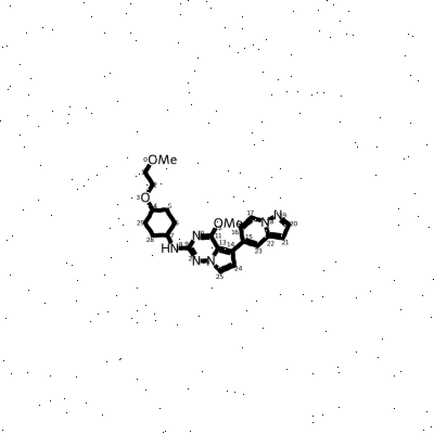 COCCOC1CCC(Nc2nc(OC)c3c(-c4ccn5nccc5c4)ccn3n2)CC1